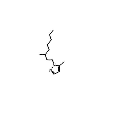 CCCCCC(C)CCn1nccc1C